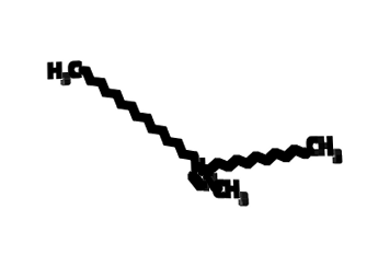 CCCCCCCCCCCCCCCCN1C=CN(C)C1CCCCCCCCCCC